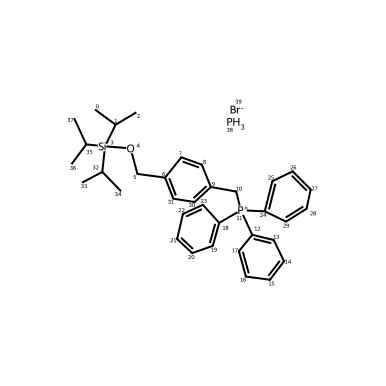 CC(C)[Si](OCc1ccc(C[P+](c2ccccc2)(c2ccccc2)c2ccccc2)cc1)(C(C)C)C(C)C.P.[Br-]